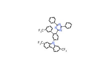 FC(F)(F)c1cccc(-c2cc(-n3c4cc(C(F)(F)F)ccc4c4ccc(C(F)(F)F)cc43)ccc2-c2nc(-c3ccccc3)nc(-c3ccccc3)n2)c1